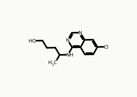 CC(CCCO)Nc1ncnc2cc(Cl)ccc12